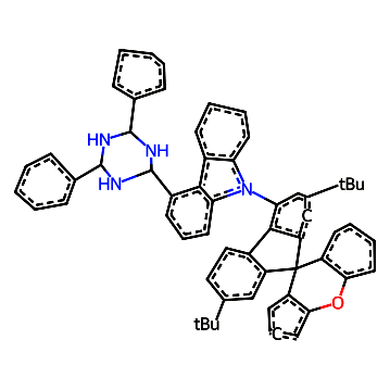 CC(C)(C)c1ccc2c(c1)C1(c3ccccc3Oc3ccccc31)c1cc(C(C)(C)C)cc(-n3c4ccccc4c4c(C5NC(c6ccccc6)NC(c6ccccc6)N5)cccc43)c1-2